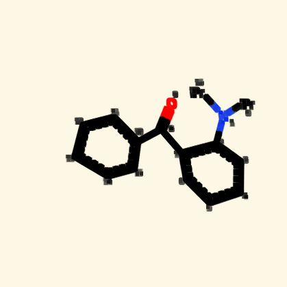 CC(C)N(c1ccccc1C(=O)c1ccccc1)C(C)C